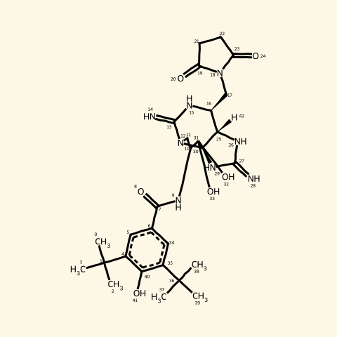 CC(C)(C)c1cc(C(=O)NC2CN3C(=N)N[C@@H](CN4C(=O)CCC4=O)[C@@H]4NC(=N)N[C@@]43C2(O)O)cc(C(C)(C)C)c1O